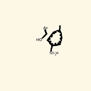 CC(=O)CO.Cc1ccc(S(=O)(=O)O)cc1